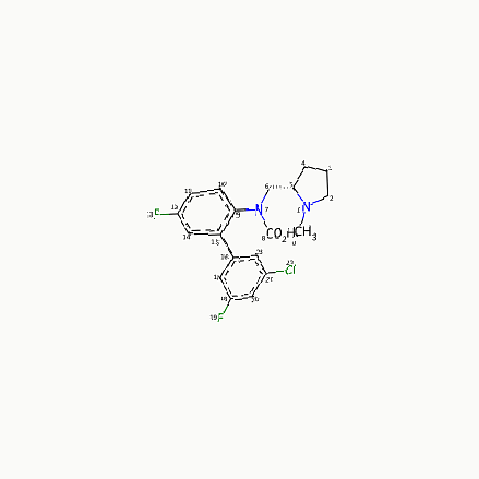 CN1CCC[C@H]1CN(C(=O)O)c1ccc(F)cc1-c1cc(F)cc(Cl)c1